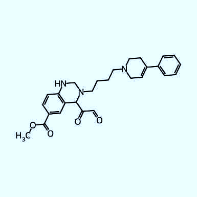 COC(=O)c1ccc2c(c1)C(C(=O)C=O)N(CCCCN1CC=C(c3ccccc3)CC1)CN2